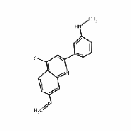 C=Cc1ccc2c(Cl)cc(-c3cccc(NC)c3)nc2c1